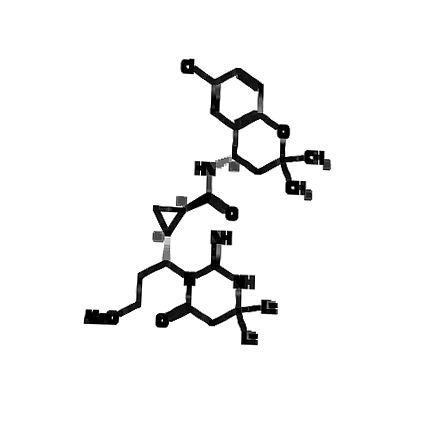 CCC1(CC)CC(=O)N(C(CCOC)[C@@H]2C[C@H]2C(=O)N[C@H]2CC(C)(C)Oc3ccc(Cl)cc32)C(=N)N1